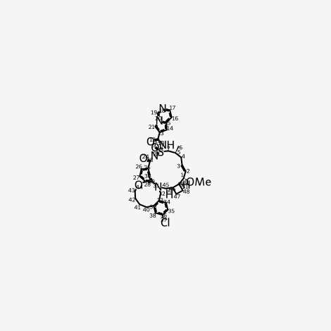 CO[C@H]1/C=C/C[C@H](C)C[S@@](=O)(NC(=O)c2cc3ccncn3c2)=NC(=O)c2ccc3c(c2)N(Cc2ccc(Cl)cc2CCCCO3)C[C@@H]2CC[C@H]21